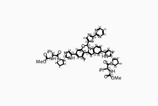 COC(=O)NC(C(=O)N1CCC[C@H]1c1ncc(-c2cc(F)c3c(c2)OC(c2cnc(-c4ncccn4)s2)n2c-3cc3cc(-c4cnc([C@@H]5CCCN5C(=O)C(NC(=O)OC)C(C)C)[nH]4)ccc32)[nH]1)C(C)C